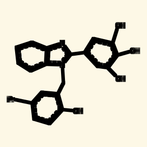 CC(C)c1ccc(O)c(Cn2c(-c3cc(O)c(O)c(O)c3)nc3ccccc32)c1